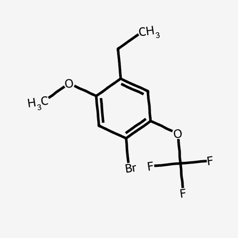 CCc1cc(OC(F)(F)F)c(Br)cc1OC